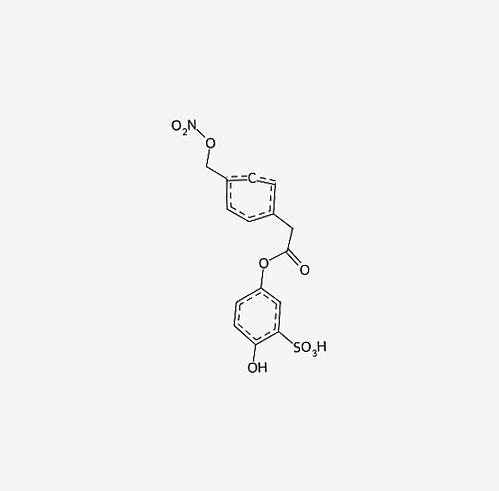 O=C(Cc1ccc(CO[N+](=O)[O-])cc1)Oc1ccc(O)c(S(=O)(=O)O)c1